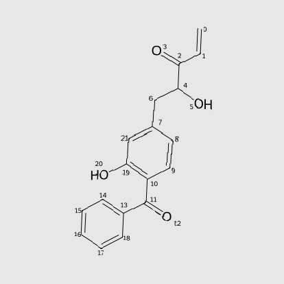 C=CC(=O)C(O)Cc1ccc(C(=O)c2ccccc2)c(O)c1